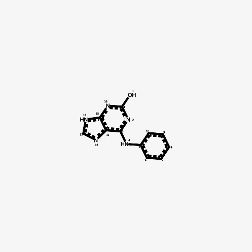 Oc1nc(Nc2ccccc2)c2nc[nH]c2n1